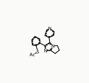 CC(=O)Sc1ccccc1-c1nc2n(c1-c1ccncc1)CCC2